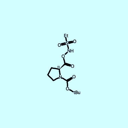 CCS(=O)(=O)NOC(=O)[C@@H]1CCCN1C(=O)OC(C)(C)C